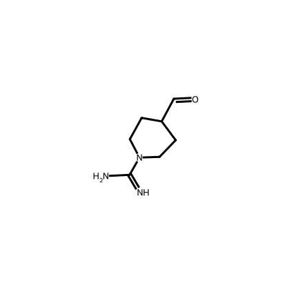 N=C(N)N1CCC(C=O)CC1